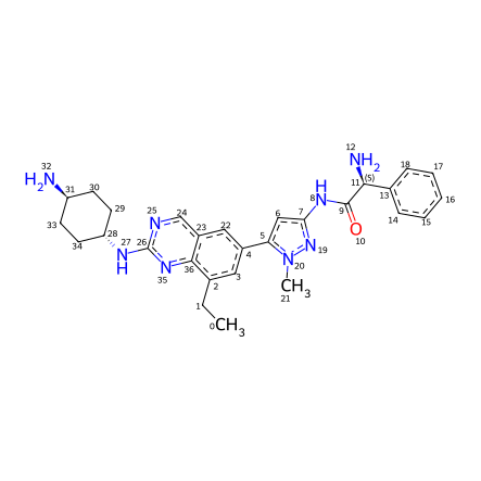 CCc1cc(-c2cc(NC(=O)[C@@H](N)c3ccccc3)nn2C)cc2cnc(N[C@H]3CC[C@H](N)CC3)nc12